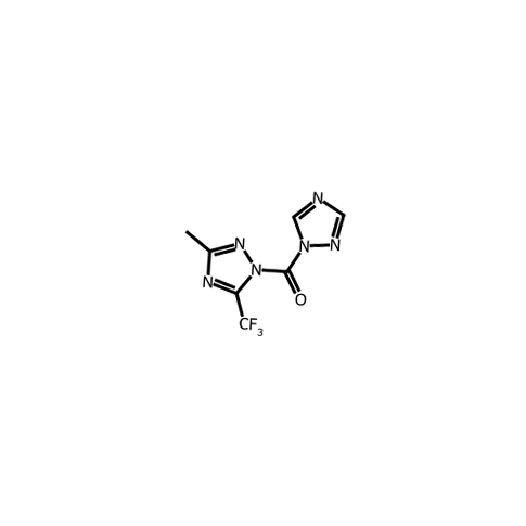 Cc1nc(C(F)(F)F)n(C(=O)n2cncn2)n1